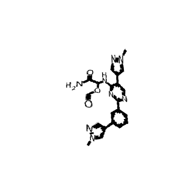 Cn1cc(-c2cccc(-c3ncc(-c4cnn(C)c4)c(NC(OC=O)C(N)=O)n3)c2)cn1